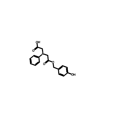 O=C(O)CN(CC(=O)OCc1ccc(O)cc1)c1ccccc1